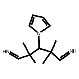 CC(C)(C=N)C(n1cccc1)C(C)(C)C=N